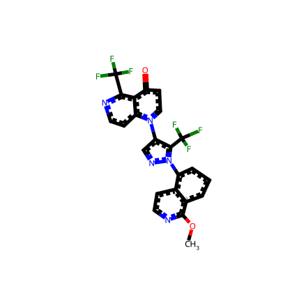 COc1nccc2c(-n3ncc(-n4ccc(=O)c5c(C(F)(F)F)nccc54)c3C(F)(F)F)cccc12